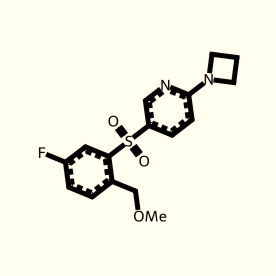 COCc1ccc(F)cc1S(=O)(=O)c1ccc(N2CCC2)nc1